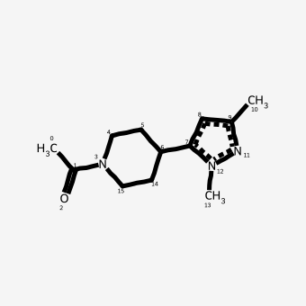 CC(=O)N1CCC(c2cc(C)nn2C)CC1